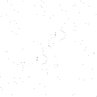 COc1cc(OC)cc(OC(=O)Cc2ccc(O)cc2)c1